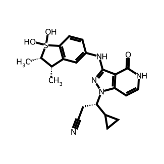 C[C@H]1c2cc(Nc3nn([C@@H](CC#N)C4CC4)c4cc[nH]c(=O)c34)ccc2S(O)(O)[C@H]1C